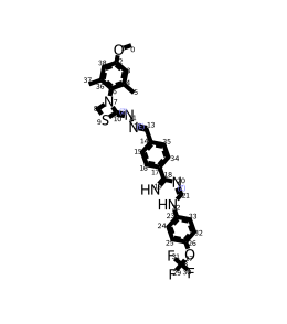 COc1cc(C)c(N2CS/C2=N\N=C\c2ccc(C(=N)/N=C\Nc3ccc(OC(F)(F)F)cc3)cc2)c(C)c1